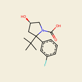 CC(C)(C)C1(c2cccc(F)c2)C[C@@H](O)CN1C(=O)O